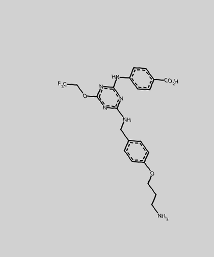 NCCCOc1ccc(CNc2nc(Nc3ccc(C(=O)O)cc3)nc(OCC(F)(F)F)n2)cc1